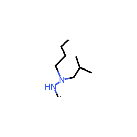 [CH2]NN(CCCC)CC(C)C